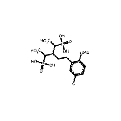 COc1ccc(Cl)cc1CCC(C(C(=O)O)P(=O)(O)O)C(C(=O)O)P(=O)(O)O